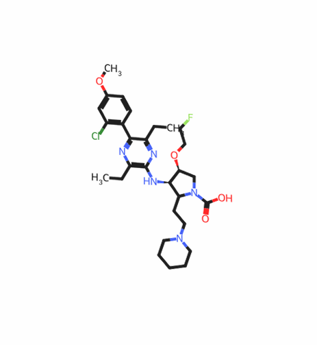 CCc1nc(-c2ccc(OC)cc2Cl)c(CC)nc1N[C@@H]1C(CCN2CCCCC2)N(C(=O)O)C[C@@H]1OCCF